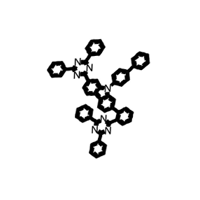 c1ccc(-c2ccc(-n3c4cc(-c5nc(-c6ccccc6)nc(-c6ccccc6)n5)ccc4c4ccc(-c5ccccc5-c5nc(-c6ccccc6)nc(-c6ccccc6)n5)cc43)cc2)cc1